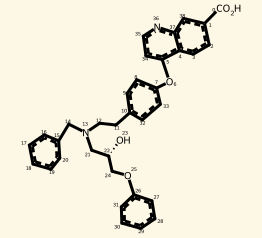 O=C(O)c1ccc2c(Oc3ccc(CCN(Cc4ccccc4)C[C@H](O)COc4ccccc4)cc3)ccnc2c1